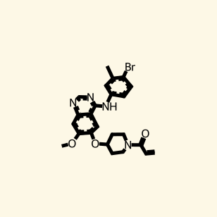 C=CC(=O)N1CCC(Oc2cc3c(Nc4ccc(Br)c(C)c4)ncnc3cc2OC)CC1